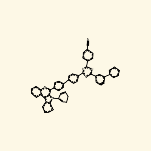 N#Cc1ccc(-c2nc(-c3ccc(-c4ccc(-c5nc6ccccc6c6c7ccccc7n(C7=CCCC=C7)c56)cc4)cc3)nc(-c3cc#cc(-c4ccccc4)c3)n2)cc1